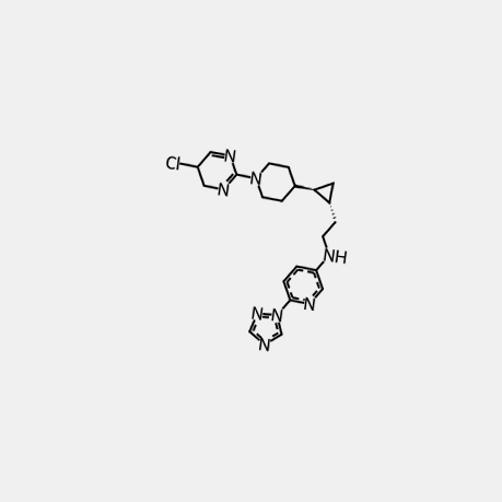 ClC1C=NC(N2CCC([C@H]3C[C@@H]3CCNc3ccc(-n4cncn4)nc3)CC2)=NC1